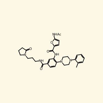 CC(=O)Nc1ccc(C(=O)Nc2cc(C(=O)NCCCN3CCCC3=O)ccc2N2CCN(c3ccccc3C)CC2)o1